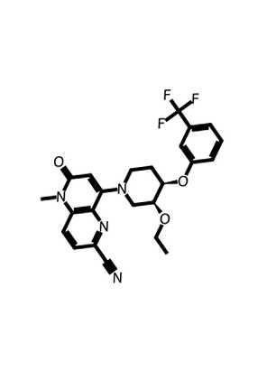 CCO[C@H]1CN(c2cc(=O)n(C)c3ccc(C#N)nc23)CC[C@H]1Oc1cccc(C(F)(F)F)c1